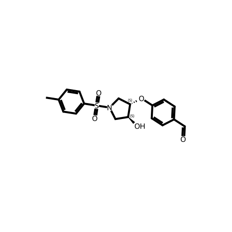 Cc1ccc(S(=O)(=O)N2C[C@H](Oc3ccc(C=O)cc3)[C@@H](O)C2)cc1